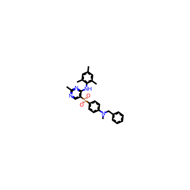 Cc1cc(C)c(Nc2nc(C)ncc2S(=O)(=O)c2ccc(N(C)Cc3ccccc3)cc2)c(C)c1